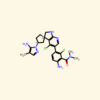 Cc1cnn([C@H]2CC[C@]3(CNc4ncc(-c5ccc(N)c(C(=O)N(C)C)c5F)c(Cl)c43)C2)c1N